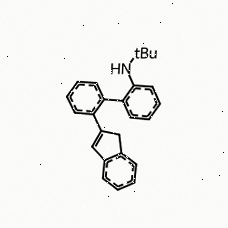 CC(C)(C)Nc1ccccc1-c1ccccc1C1=Cc2ccccc2C1